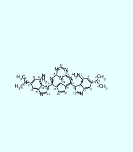 CN(C)c1cc(N)c2c(c1)N=CC2c1nc2ncnc3nc(-n4cnc5cc(N(C)C)cc(N)c54)c4ccc1c4n23